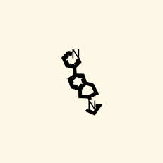 c1cncc(-c2ccc3c(c2)CCC(N2CCC2)C3)c1